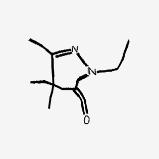 CCN1N=C(C)C(C)(C)C1=O